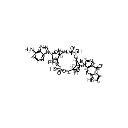 Nc1ncnc2c1nnn2[C@@H]1O[C@@H]2COP(=O)(S)O[C@@H]3[C@H](F)[C@@H](COP(=O)(S)O[C@H]2[C@@H]1F)O[C@H]3n1cnc2c(=O)n3cc[nH]c3nc21